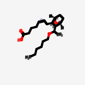 CCCCCCOC(C)[C@H]1[C@@H](C/C=C\CCCC(=O)O)[C@H]2CC[C@@H]1O2